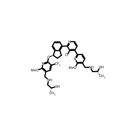 COc1nc(-c2ccnc(-c3cccc4c3CC[C@H]4Oc3nc(OC)c(CNC[C@@H](C)O)cc3C(F)(F)F)c2Cl)ccc1CNC[C@@H](C)O